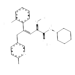 Cc1ccccc1/C(=C\C(=N\O)C(=O)N[C@H]1CCCC[C@@H]1O)Cc1ccc(Cl)nc1